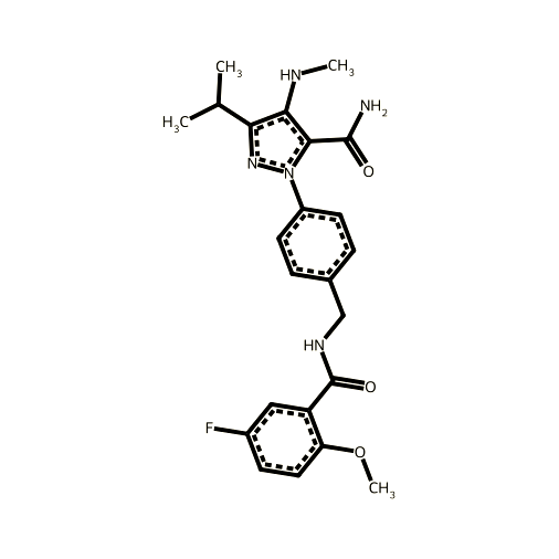 CNc1c(C(C)C)nn(-c2ccc(CNC(=O)c3cc(F)ccc3OC)cc2)c1C(N)=O